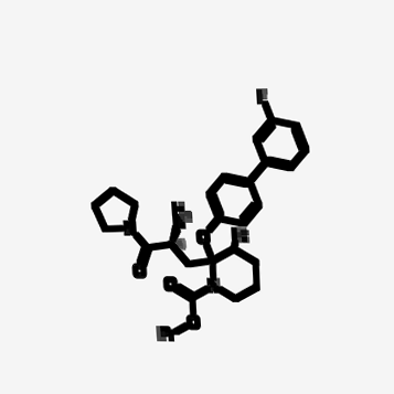 CCC1CCCN(C(=O)OC(C)C)C1(C[C@H](N)C(=O)N1CCCC1)Oc1ccc(-c2cccc(F)c2)cc1